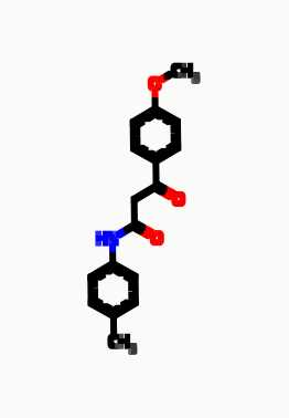 COc1ccc(C(=O)CC(=O)Nc2ccc(C)cc2)cc1